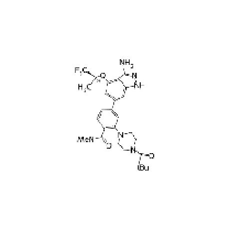 CNC(=O)c1ccc(-c2cc(O[C@@H](C)C(F)(F)F)c3c(N)n[nH]c3c2)cc1N1CCN(C(=O)C(C)(C)C)CC1